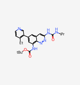 CCc1ccncc1-c1cc(NC(=O)OC(C)(C)C)c2nnc(NC(=O)NC(C)C)cc2c1